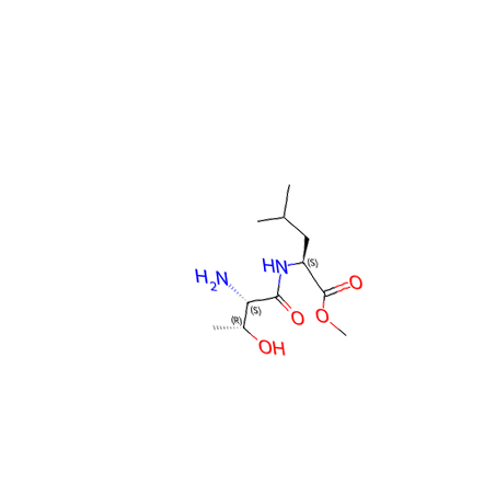 COC(=O)[C@H](CC(C)C)NC(=O)[C@@H](N)[C@@H](C)O